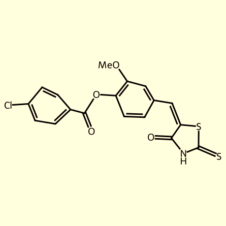 COc1cc(/C=C2/SC(=S)NC2=O)ccc1OC(=O)c1ccc(Cl)cc1